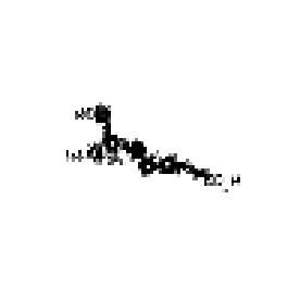 Cc1c(COc2cc(OCc3cncc(C#N)c3)c(CN(CCO)C(=O)OC(C)(C)C)cc2Cl)cccc1-c1cccc(-c2ccc(CNCCCC(=O)O)cc2)c1C